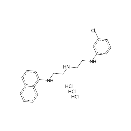 Cl.Cl.Cl.Clc1cccc(NCCNCCNc2cccc3ccccc23)c1